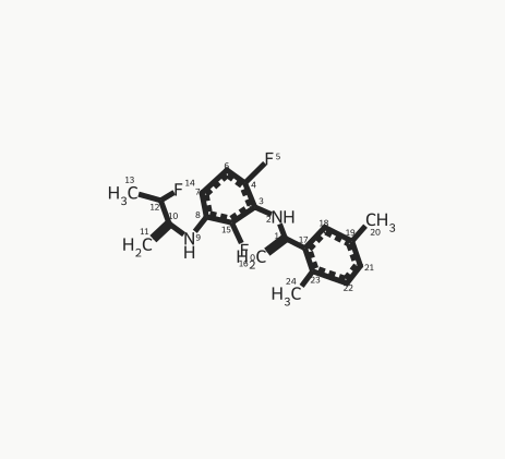 C=C(Nc1c(F)ccc(NC(=C)C(C)F)c1F)c1cc(C)ccc1C